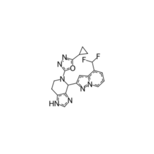 FC(F)c1cccn2nc(C3c4nc[nH]c4CCN3c3nnc(C4CC4)o3)cc12